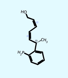 C[C@@H](/C=C\C=C/CO)c1ccccc1P